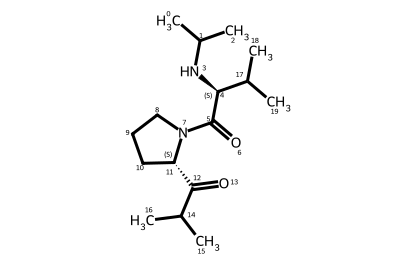 CC(C)N[C@H](C(=O)N1CCC[C@H]1C(=O)C(C)C)C(C)C